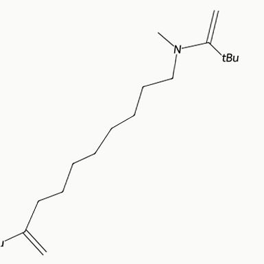 C=C(CCCCCCCCN(C)C(=C)C(C)(C)C)C(C)(C)C